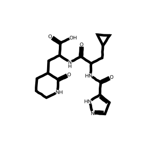 O=C(NC(CC1CC1)C(=O)NC(CC1CCCNC1=O)C(=O)O)c1ccn[nH]1